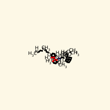 CNCCCN(C)CCCOc1ccc(N/C(=C\C(=N)C(=O)NC2(C(O)OC(C)(C)C)C3CC4CC5CC2C53C4)c2c(OC)cccc2OC)c(C(C)C)c1